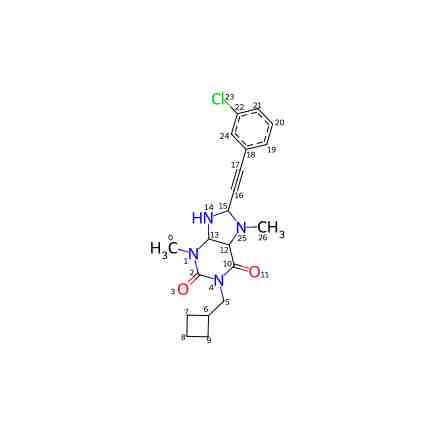 CN1C(=O)N(CC2CCC2)C(=O)C2C1NC(C#Cc1cccc(Cl)c1)N2C